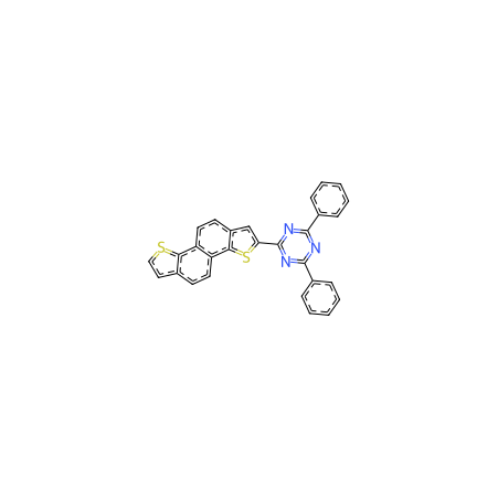 c1ccc(-c2nc(-c3ccccc3)nc(-c3cc4ccc5c(ccc6ccsc65)c4s3)n2)cc1